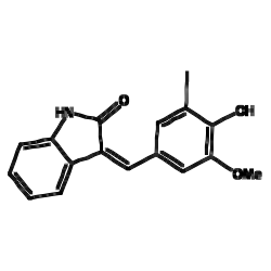 COc1cc(/C=C2\C(=O)Nc3ccccc32)cc(I)c1O